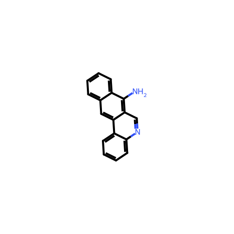 Nc1c2ccccc2cc2c1cnc1ccccc12